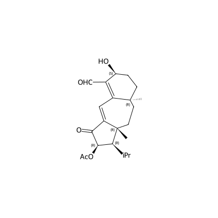 CC(=O)O[C@H]1C(=O)C2=CC3=C(C=O)[C@@H](O)CC[C@@]3(C)CC[C@]2(C)[C@H]1C(C)C